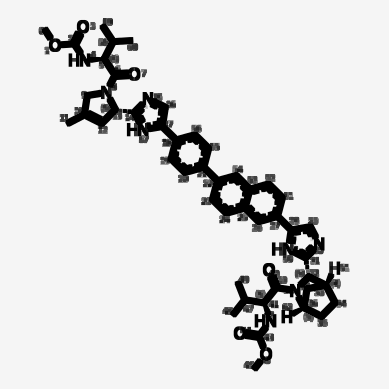 COC(=O)N[C@H](C(=O)N1CC(C)=C[C@H]1c1ncc(-c2ccc(-c3ccc4cc(-c5cnc([C@@H]6[C@@H]7CC[C@@H](C7)N6C(=O)[C@@H](NC(=O)OC)C(C)C)[nH]5)ccc4c3)cc2)[nH]1)C(C)C